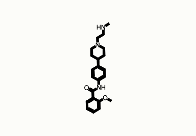 CNCCN1CCC(c2ccc(NC(=O)c3ccccc3OC)cc2)CC1